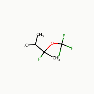 CC(C)C(C)(F)OC(F)(F)F